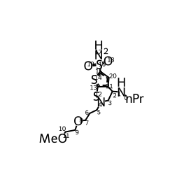 CCCNC1CN(CCCOCCOC)Sc2sc(S(N)(=O)=O)cc21